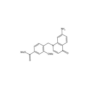 COC(=O)c1ccc(Cn2ccc(=O)c3ccc(N)cc32)c(OC)c1